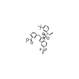 C=CC(c1cccc(C(C)(C)C)c1)S(=O)(=O)n1c(Cc2cccc(C(=O)OC)c2)cc2cc(C(F)(F)F)ccc21